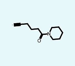 [C]#CCCCC(=O)N1CCCCC1